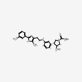 Cc1cccc(-c2nc(CCOc3cccc([C@@H]4CN(C(=O)OCC(C)C)CC4C=O)c3)c(C)o2)c1